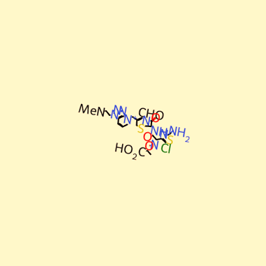 CNCCn1nnc2c1ccc[n+]2CC1=C(C=O)N2C(=O)C(NC(=O)/C(=N\O[C@@H](C)C(=O)O)c3nc(N)sc3Cl)C2SC1